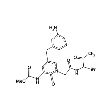 COC(=O)Nc1cc(Cc2cccc(N)c2)cn(CC(=O)NC(C(=O)C(F)(F)F)C(C)C)c1=O